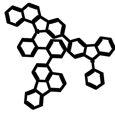 c1ccc(-n2c3ccccc3c3cc(-c4ccc5c6ccc7ccccc7c6n(-c6ccccc6-c6ccccc6-c6ccc7c8c(cccc68)-c6ccccc6-7)c5c4)ccc32)cc1